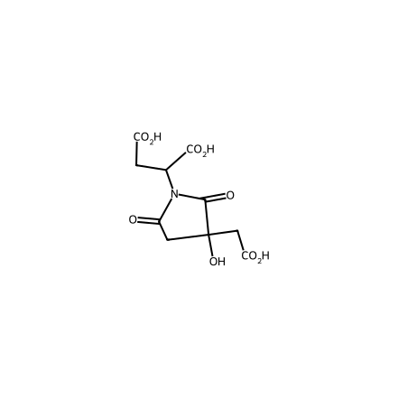 O=C(O)CC(C(=O)O)N1C(=O)CC(O)(CC(=O)O)C1=O